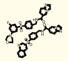 O=C(NCc1ccc(S(=O)(=O)c2cc(F)cc(N3CCOCC3)c2)cc1)c1ccc2nccn2c1.O=C(NCc1ccc(S(=O)(=O)c2cnc3ccccc3c2)cc1)c1ccc2nccn2c1